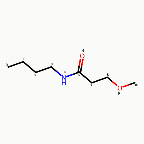 CCCCNC(=O)CCOC